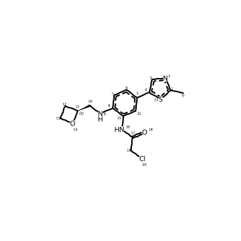 Cc1ncc(-c2ccc(NC[C@@H]3CCO3)c(NC(=O)CCl)c2)s1